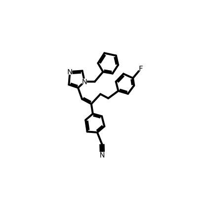 N#Cc1ccc(C(=Cc2cncn2Cc2ccccc2)CCc2ccc(F)cc2)cc1